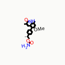 COc1cc(C)c2[nH]c(=O)c(C)cc2c1-c1ccc([C@@H](C)COC(N)=O)cc1